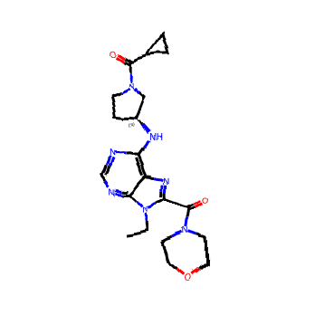 CCn1c(C(=O)N2CCOCC2)nc2c(N[C@H]3CCN(C(=O)C4CC4)C3)ncnc21